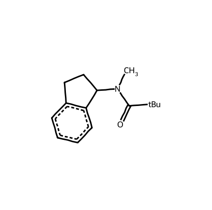 CN(C(=O)C(C)(C)C)C1CCc2ccccc21